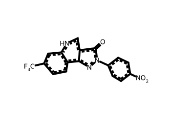 O=c1c2c[nH]c3cc(C(F)(F)F)ccc3c-2nn1-c1ccc([N+](=O)[O-])cc1